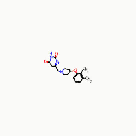 Cc1cccc(OC2CCN(CC3=NC(=O)NC(=O)C3)CC2)c1C